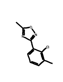 Cc1nc(-c2cccc(C)c2Cl)no1